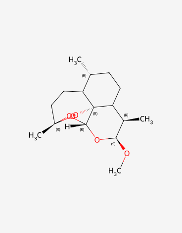 CO[C@H]1O[C@@H]2O[C@@]3(C)CCC4[C@H](C)CCC([C@H]1C)[C@]42OO3